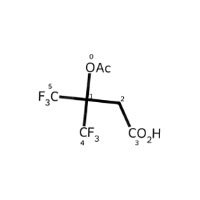 CC(=O)OC(CC(=O)O)(C(F)(F)F)C(F)(F)F